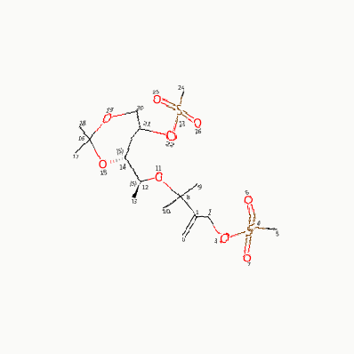 C=C(COS(C)(=O)=O)C(C)(C)O[C@@H](C)[C@@H]1OC(C)(C)OCC1OS(C)(=O)=O